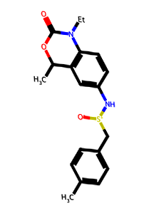 CCN1C(=O)OC(C)c2cc(N[S+]([O-])Cc3ccc(C)cc3)ccc21